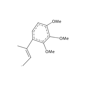 [CH2]C=C(C)c1ccc(OC)c(OC)c1OC